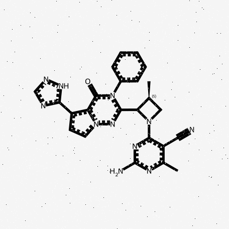 Cc1nc(N)nc(N2C[C@H](C)C2c2nn3ccc(-c4ncn[nH]4)c3c(=O)n2-c2ccccc2)c1C#N